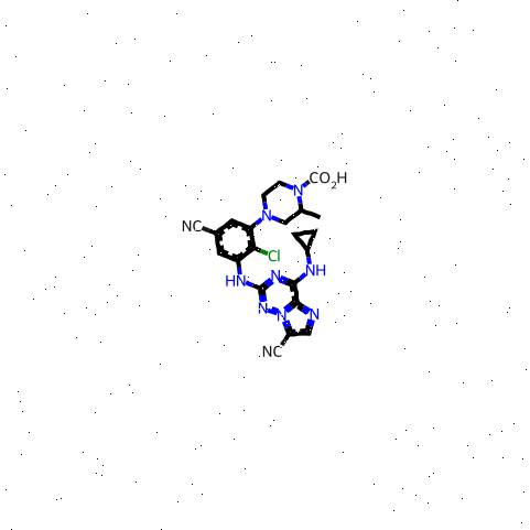 CC1CN(c2cc(C#N)cc(Nc3nc(NC4CC4)c4ncc(C#N)n4n3)c2Cl)CCN1C(=O)O